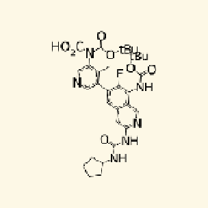 Cc1c(-c2cc3cc(NC(=O)NC4CCCC4)ncc3c(NC(=O)OC(C)(C)C)c2F)cncc1N(C(=O)O)C(=O)OC(C)(C)C